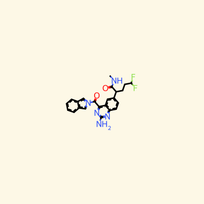 CNC(=O)C(CCC(F)F)c1ccc2nc(N)nc(C(=O)n3cc4ccccc4c3)c2c1